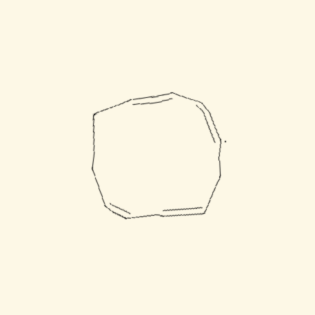 [C]1=C\C=C/CC/C=C\C=C/C/1